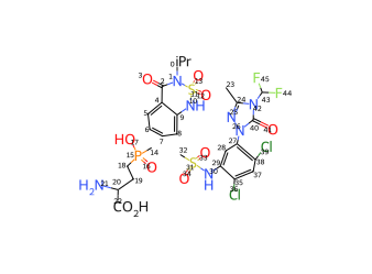 CC(C)N1C(=O)c2ccccc2NS1(=O)=O.CP(=O)(O)CCC(N)C(=O)O.Cc1nn(-c2cc(NS(C)(=O)=O)c(Cl)cc2Cl)c(=O)n1C(F)F